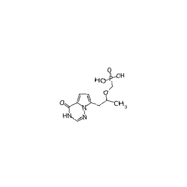 CC(Cc1ccc2c(=O)[nH]cnn12)OCP(=O)(O)O